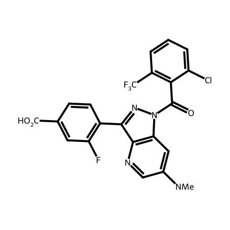 CNc1cnc2c(-c3ccc(C(=O)O)cc3F)nn(C(=O)c3c(Cl)cccc3C(F)(F)F)c2c1